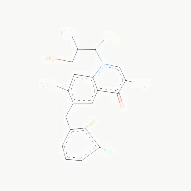 COc1cc2c(cc1Cc1cccc(Cl)c1F)c(=O)c(C(=O)O)cn2C(C)C(C)CO